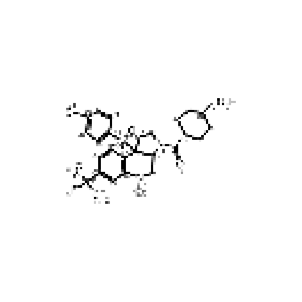 CCN1CC2N(C(=O)[C@H]3CC[C@H](C(=O)O)CC3)CCC2(S(=O)(=O)c2ccc(Cl)cc2)c2ccc(C(F)(C(F)(F)F)C(F)(F)F)cc21